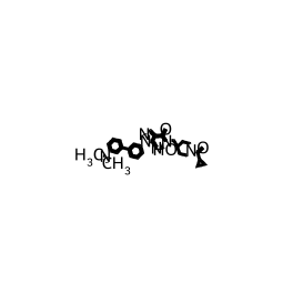 CN(C)c1cccc(-c2cccc(-n3ncc4c(=O)n(CC5(O)CCN(C(=O)C6CC6)CC5)cnc43)c2)c1